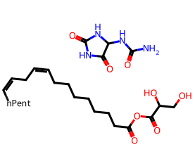 CCCCC/C=C\C/C=C\CCCCCCCC(=O)OC(=O)C(O)CO.NC(=O)NC1NC(=O)NC1=O